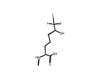 CNC(CCCC(O)C(F)(F)F)C(=O)O